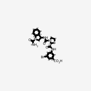 NC(=O)N1CC(NC(=O)N2CCS[C@H]2C(=O)Nc2cc(Br)cc(C(=O)O)c2)c2ccccc21